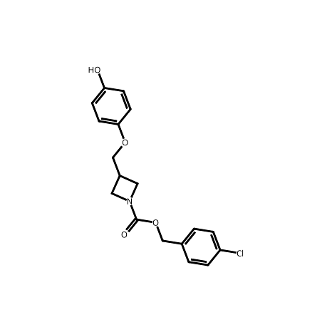 O=C(OCc1ccc(Cl)cc1)N1CC(COc2ccc(O)cc2)C1